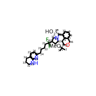 COC(C)(C)[C@@H]1Cc2c(cccc2[C@H](C(=O)O)N2CCC(C(F)(F)CCCCc3ccc4c(n3)NCCC4)C2)CO1